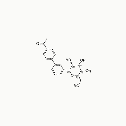 CC(=O)c1ccc(-c2cccc([C@H]3O[C@H](CO)[C@@H](O)[C@H](O)[C@@H]3O)c2)cc1